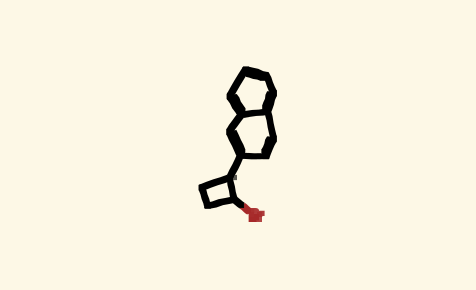 BrC1CC[C]1c1ccc2ccccc2c1